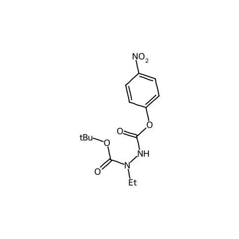 CCN(NC(=O)Oc1ccc([N+](=O)[O-])cc1)C(=O)OC(C)(C)C